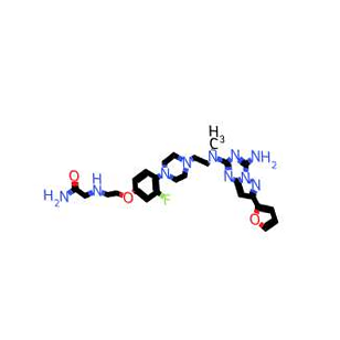 CN(CCN1CCN(c2ccc(OCCNCC(N)=O)cc2F)CC1)c1nc(N)n2nc(-c3ccco3)cc2n1